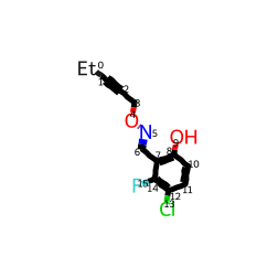 CCC#CCON=Cc1c(O)ccc(Cl)c1F